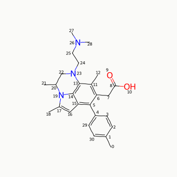 Cc1ccc(-c2c(CC(=O)O)c(C)c3c4c2cc(C)n4C(C)CN3CCN(C)C)cc1